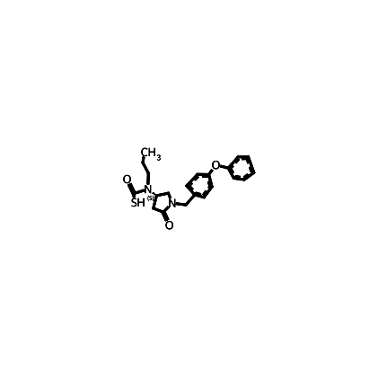 CCCN(C(=O)S)[C@H]1CC(=O)N(Cc2ccc(Oc3ccccc3)cc2)C1